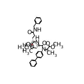 COC(=O)[C@H](CCC(=O)NCc1ccccc1)N[C@@H](CC(C)C)C(=O)N(c1ccc(-c2ccccc2)cc1)[C@@H](C)C(=O)OC